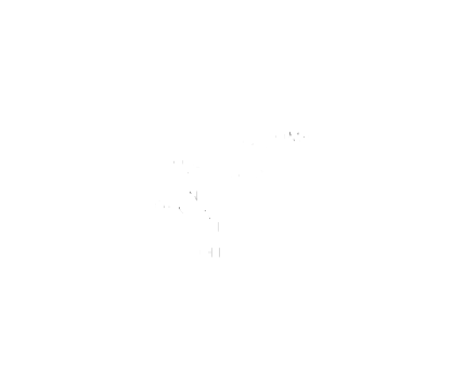 COC(=O)/C=C\SC1=C(C(=O)O)N2C(=O)[C@H]([C@@H](C)O)[C@H]2C1